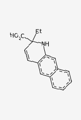 CCC1(C(=O)O)C=Cc2cc3ccccc3cc2N1